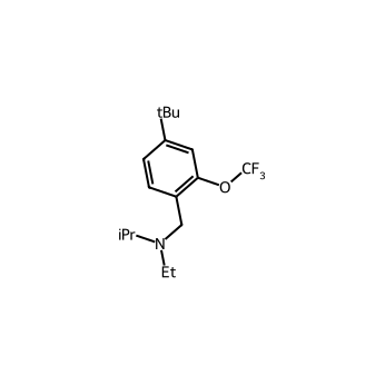 CCN(Cc1ccc(C(C)(C)C)cc1OC(F)(F)F)C(C)C